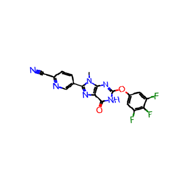 Cn1c(-c2ccc(C#N)nc2)nc2c(=O)[nH]c(Oc3cc(F)c(F)c(F)c3)nc21